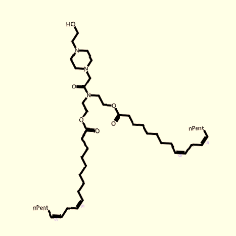 CCCCC/C=C\C/C=C\CCCCCCCC(=O)OCCN(CCOC(=O)CCCCCCC/C=C\C/C=C\CCCCC)C(=O)CN1CCN(CCO)CC1